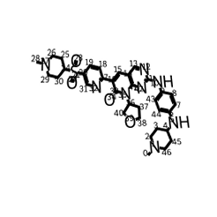 CN1CCC(Nc2ccc(Nc3ncc4cc(-c5ccc(S(=O)(=O)C6CCN(C)CC6)cn5)c(=O)n(C5CCOC5)c4n3)cc2)CC1